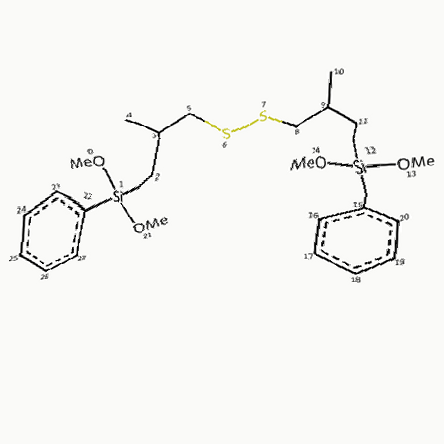 CO[Si](CC(C)CSSCC(C)C[Si](OC)(OC)c1ccccc1)(OC)c1ccccc1